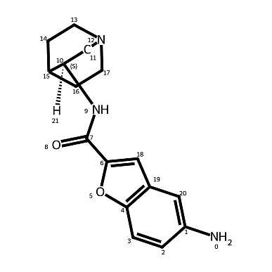 Nc1ccc2oc(C(=O)N[C@@H]3CN4CCC3CC4)cc2c1